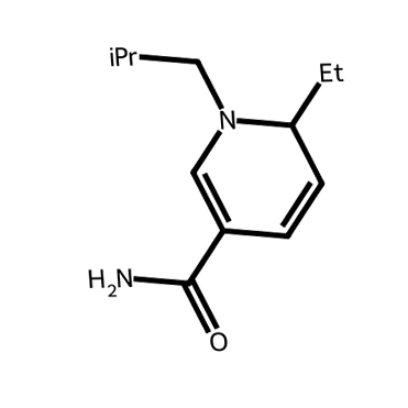 CCC1C=CC(C(N)=O)=CN1CC(C)C